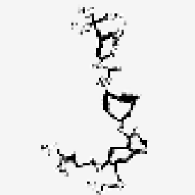 COc1cc2ncnc(Oc3cccc(NC(=O)Nc4cc(C(C)(C)C)on4)c3)c2cc1OCCCN(C)C